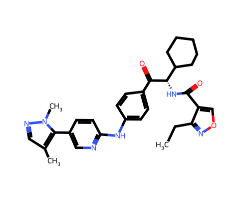 CCc1nocc1C(=O)N[C@H](C(=O)c1ccc(Nc2ccc(-c3c(C)cnn3C)cn2)cc1)C1CCCCC1